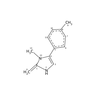 C=C1NC=C(c2ccc(C)cc2)N1C